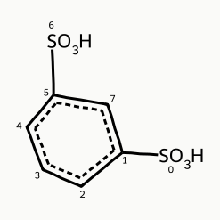 O=S(=O)(O)c1cccc(S(=O)(=O)O)c1